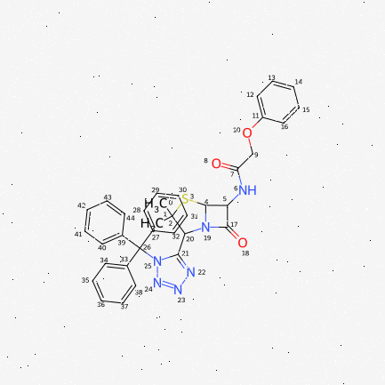 CC1(C)SC2C(NC(=O)COc3ccccc3)C(=O)N2C1c1nnnn1C(c1ccccc1)(c1ccccc1)c1ccccc1